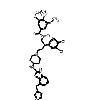 COc1cc(C(=O)N(C)CC(CCN2CCC(Nc3nc4c(Cc5ccoc5)cccc4[nH]3)CC2)c2ccc(Cl)c(Cl)c2)cc(OC)c1OC